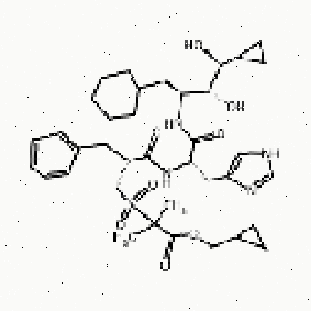 CC(C)(C(=O)OCC1CC1)S(=O)(=O)C[C@H](Cc1ccccc1)C(=O)N[C@@H](Cc1c[nH]cn1)C(=O)N[C@@H](CC1CCCCC1)[C@@H](O)[C@@H](O)C1CC1